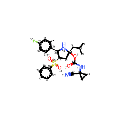 CC(C)C[C@@]1(OC(=O)NC2(C#N)CC2)C[C@H](S(=O)(=O)c2ccccc2)[C@@H](c2ccc(F)cc2)N1